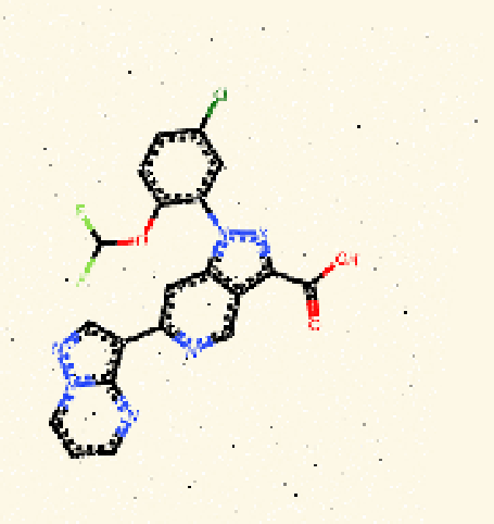 O=C(O)c1nn(-c2cc(Cl)ccc2OC(F)F)c2cc(-c3cnn4cccnc34)ncc12